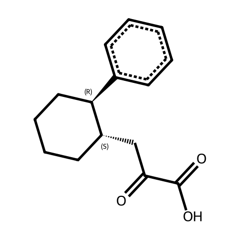 O=C(O)C(=O)C[C@@H]1CCCC[C@H]1c1ccccc1